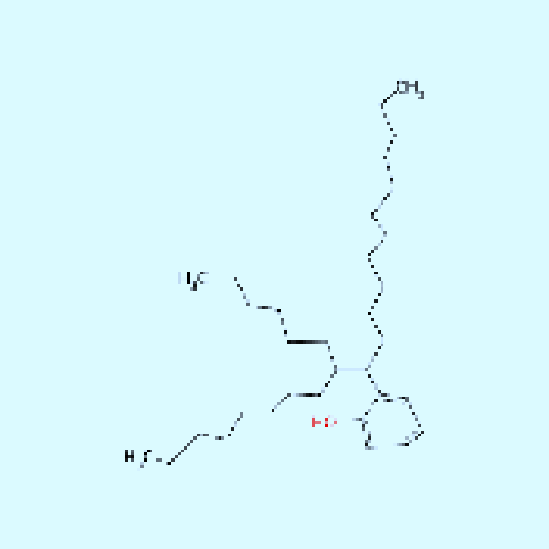 CCCCCCCCCCCC(c1ccccc1O)C(CCCCCC)CCCCCCCC